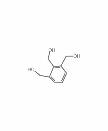 OCc1cccc(CO)c1CO